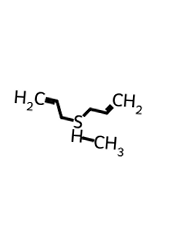 C=CC[SH](CC)CC=C